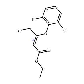 CCOC(=O)/C=C(/CBr)Oc1c(F)cccc1Cl